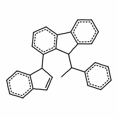 CC(c1ccccc1)C1c2ccccc2-c2cccc(C3C=Cc4ccccc43)c21